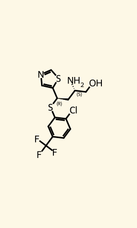 N[C@H](CO)C[C@@H](Sc1cc(C(F)(F)F)ccc1Cl)c1cncs1